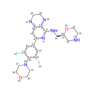 Fc1cc(-c2cc3c(c(NC[C@@H]4CNCCO4)n2)=NCCN=3)cc(F)c1N1CCOCC1